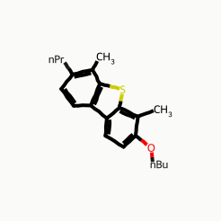 CCCCOc1ccc2c(sc3c(C)c(CCC)ccc32)c1C